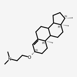 C[C@H]1CCC2C3CCC4=C[C@@H](OCCN(C)C)CC[C@]4(C)C3CC[C@@]21C